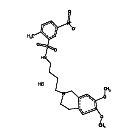 COc1cc2c(cc1OC)CN(CCCCNS(=O)(=O)c1cc([N+](=O)[O-])ccc1C)CC2.Cl